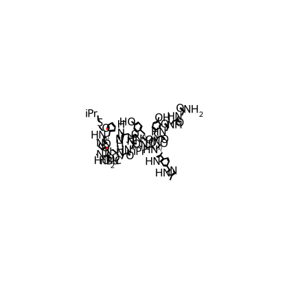 CCCC[C@@H](C(=O)N(C)CC(=O)NC(CC(=O)O)C(=O)N[C@H](C(=O)N(C)[C@@H](Cc1cnc[nH]1)C(=O)N[C@@H](Cc1ccc(O)cc1)C(=O)N(C)CC(=O)N[C@@H](Cc1c[nH]c2cc(-c3ncc(C)[nH]3)ccc12)C(=O)N[C@@H](Cc1ccc(O)cc1)C(=O)NCC(=O)NCC(=O)NCC(N)=O)C(C)C)N(C)C(=O)CN(C)C(=O)[C@H](Cc1ccccc1)NC(=O)CSCCC(C)C